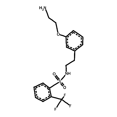 NCCOc1cccc(CCNS(=O)(=O)c2ccccc2C(F)(F)F)c1